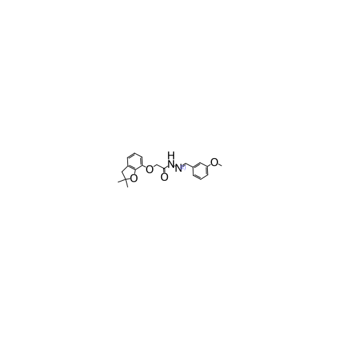 COc1cccc(/C=N/NC(=O)COc2cccc3c2OC(C)(C)C3)c1